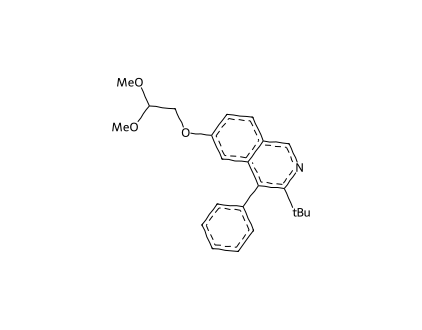 COC(COc1ccc2cnc(C(C)(C)C)c(-c3ccccc3)c2c1)OC